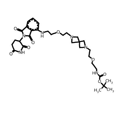 CC(C)(C)OC(=O)NCCOCCN1CC2(C1)CN(CCOCCNc1cccc3c1C(=O)N(C1CCC(=O)NC1=O)C3=O)C2